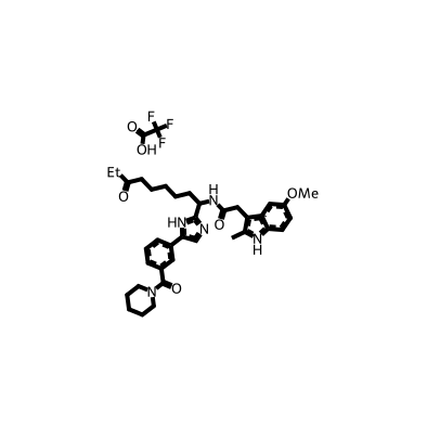 CCC(=O)CCCCCC(NC(=O)Cc1c(C)[nH]c2ccc(OC)cc12)c1ncc(-c2cccc(C(=O)N3CCCCC3)c2)[nH]1.O=C(O)C(F)(F)F